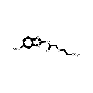 COc1ccc2sc(NC(=O)CSCCC(=O)O)nc2c1